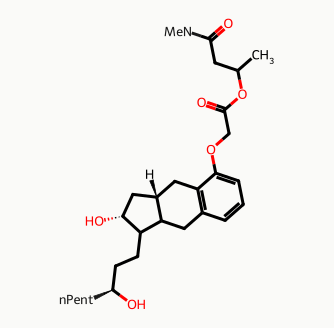 CCCCC[C@H](O)CCC1C2Cc3cccc(OCC(=O)OC(C)CC(=O)NC)c3C[C@H]2C[C@H]1O